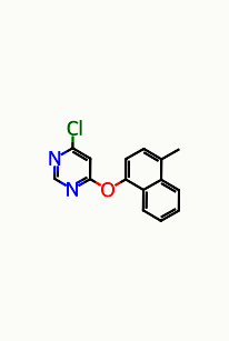 Cc1ccc(Oc2cc(Cl)ncn2)c2ccccc12